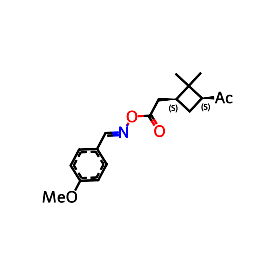 COc1ccc(C=NOC(=O)C[C@@H]2C[C@H](C(C)=O)C2(C)C)cc1